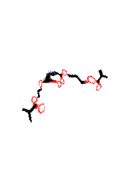 C=C(C)C(=O)OCCCOC(=O)/C=C\C(=O)OCCCOC(=O)C(=C)C